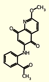 COc1ccc2c(n1)C(=O)C=C(Nc1ccccc1C(C)=O)C2=O